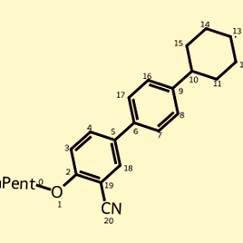 CCCCCOc1ccc(-c2ccc(C3CC[CH]CC3)cc2)cc1C#N